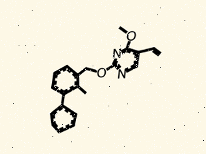 C=Cc1cnc(OCc2cccc(-c3ccccc3)c2C)nc1OC